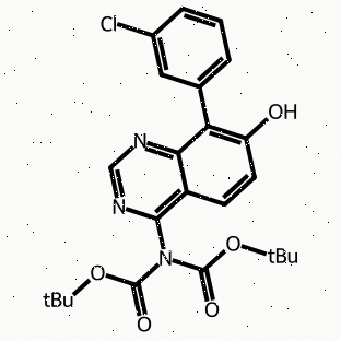 CC(C)(C)OC(=O)N(C(=O)OC(C)(C)C)c1ncnc2c(-c3cccc(Cl)c3)c(O)ccc12